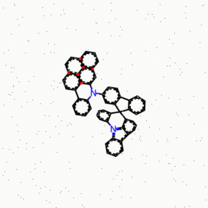 c1ccc(-c2cccc(-c3ccccc3N(c3ccc4c(c3)C3(c5ccccc5-4)c4ccccc4-n4c5ccccc5c5cccc3c54)c3ccc4ccccc4c3)c2)cc1